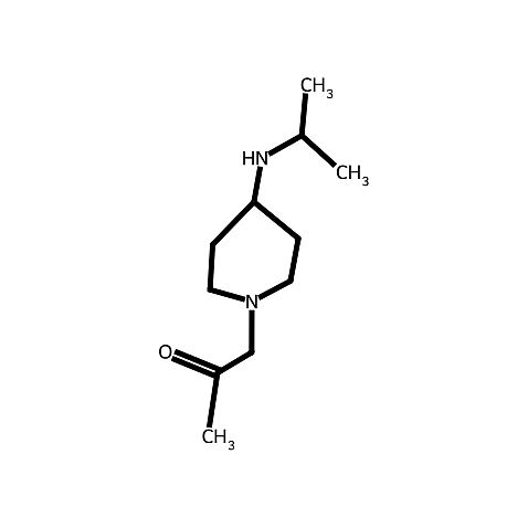 CC(=O)CN1CCC(NC(C)C)CC1